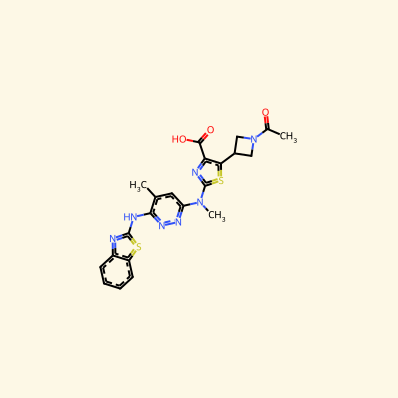 CC(=O)N1CC(c2sc(N(C)c3cc(C)c(Nc4nc5ccccc5s4)nn3)nc2C(=O)O)C1